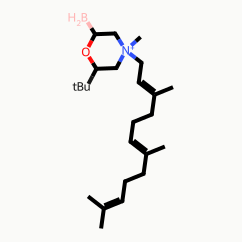 BC1C[N+](C)(C/C=C(\C)CC/C=C(\C)CCC=C(C)C)CC(C(C)(C)C)O1